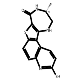 C[C@@H]1CNc2c(sc3ccc4nc(S)ccc4c23)C(=O)N1